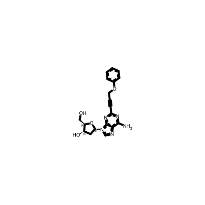 Nc1nc(C#CCOc2ccccc2)nc2c1ncn2[C@H]1C[C@H](O)[C@@H](CO)O1